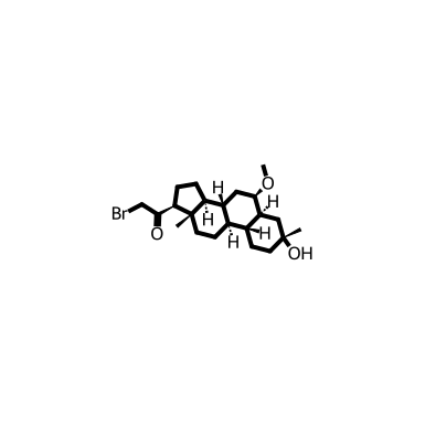 CO[C@@H]1C[C@@H]2[C@H](CC[C@]3(C)[C@@H](C(=O)CBr)CC[C@@H]23)[C@H]2CC[C@@](C)(O)C[C@@H]21